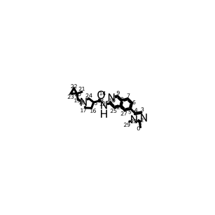 Cc1ncc(-c2ccc3cnc(NC(=O)C4CCN(CC5(C)CC5)C4)cc3c2)n1C